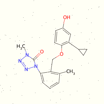 Cc1cccc(-n2nnn(C)c2=O)c1COc1ccc(O)cc1C1CC1